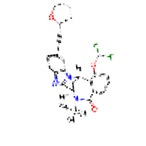 [2H]C([2H])([2H])N1C(=O)c2cccc(OC(F)F)c2[C@H]2C[C@@H]1c1nc3ccc(C#CC4CCCCO4)cc3n12